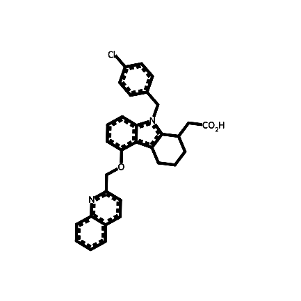 O=C(O)CC1CCCc2c1n(Cc1ccc(Cl)cc1)c1cccc(OCc3ccc4ccccc4n3)c21